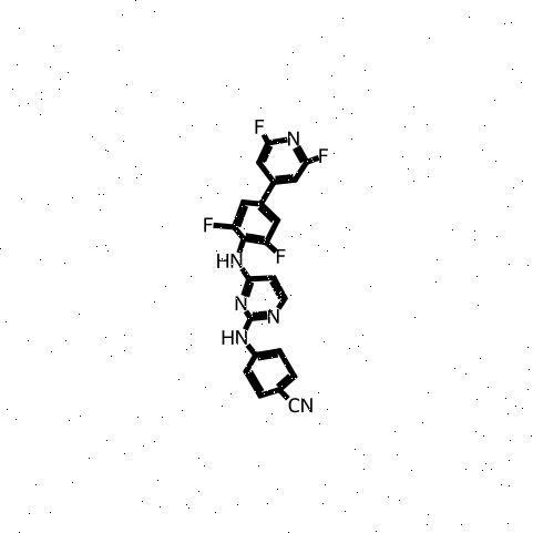 N#Cc1ccc(Nc2nccc(Nc3c(F)cc(-c4cc(F)nc(F)c4)cc3F)n2)cc1